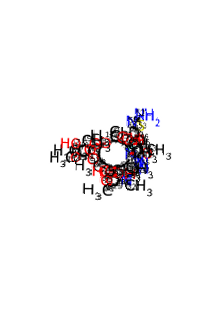 CC[C@H]1OC(=O)[C@H](C)[C@@H](O[C@H]2C[C@@](C)(OC)[C@@H](O)[C@H](C)O2)[C@H](C)[C@@H](O[C@@H]2O[C@H](C)C[C@H](N(C)CCc3cn([C@H](CF)[C@H](OC)c4ccc(-c5cnc(N)s5)cc4)nn3)[C@H]2O)[C@](C)(O)C[C@@H](C)CN(C)[C@H](C)[C@@H](O)[C@]1(C)O